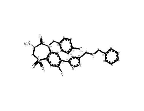 N[C@H]1CS(=O)(=O)c2cc(F)c(-c3nc(COCc4ccccc4)no3)cc2N(Cc2ccc(Cl)cc2)C1=O